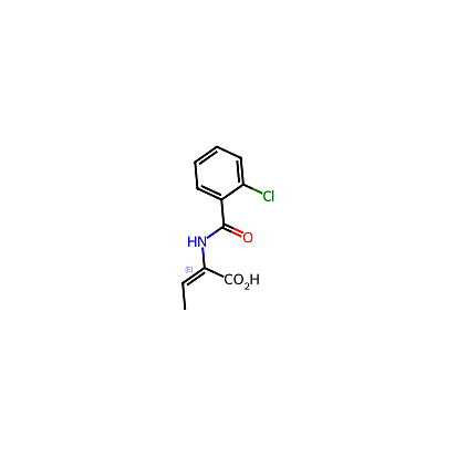 C/C=C(/NC(=O)c1ccccc1Cl)C(=O)O